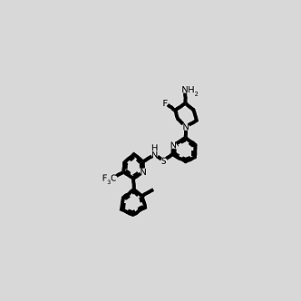 Cc1ccccc1-c1nc(NSc2cccc(N3CCC(N)C(F)C3)n2)ccc1C(F)(F)F